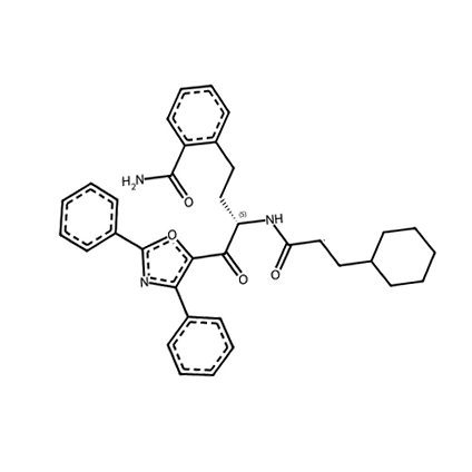 NC(=O)c1ccccc1CC[C@H](NC(=O)[CH]CC1CCCCC1)C(=O)c1oc(-c2ccccc2)nc1-c1ccccc1